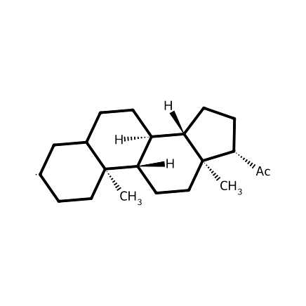 CC(=O)[C@H]1CC[C@H]2[C@@H]3CCC4C[CH]CC[C@]4(C)[C@H]3CC[C@]12C